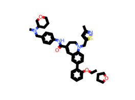 C1CCOC1.CCOc1ccccc1-c1ccc2c(c1)C=C(C(=O)Nc1ccc(CN(C)C3CCCOC3)cc1)CCN2Cc1cc(C)ns1